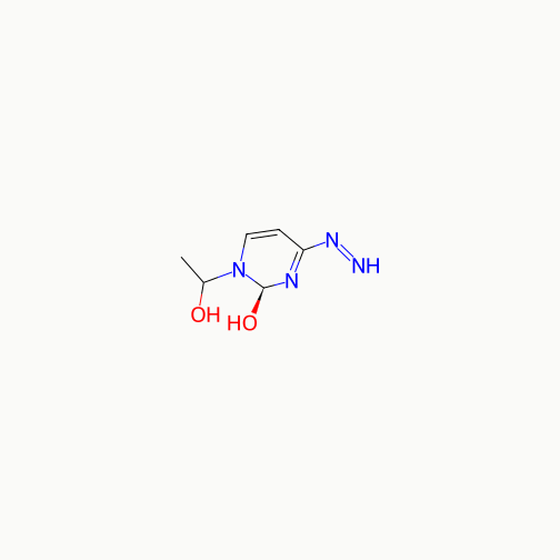 CC(O)N1C=CC(N=N)=N[C@H]1O